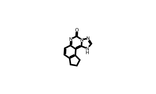 O=c1nc2ccc3c(c2c2[nH]cnn12)CCC3